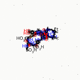 CC[C@H]1c2cc3[nH]c4c(c3C)C(=O)C(C(=O)OC)c4c3nc(cc4[nH]c(cc(n2)[C@@H]1C)c(C(C)=O)c4C)[C@@H](C)[C@@H]3CCC(=O)NC(CC(C)NCCc1ccc(B(O)O)cc1)C(=O)NNC(=O)OCCSSC[C@H](NC(=O)[C@H](CC(=O)NCCS(=O)(=O)O)NC(=O)CC[C@H](NC(=O)c1ccc(NCc2cnc3nc(N)[nH]c(=O)c3n2)cc1)C(=O)O)C(=O)O